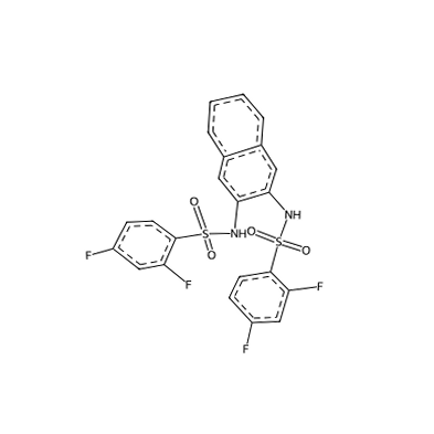 O=S(=O)(Nc1cc2ccccc2cc1NS(=O)(=O)c1ccc(F)cc1F)c1ccc(F)cc1F